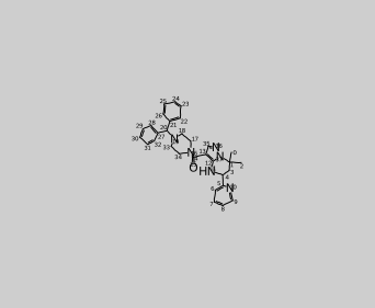 CC1(C)CC(c2ccccn2)Nc2c(C(=O)N3CCN(C(c4ccccc4)c4ccccc4)CC3)cnn21